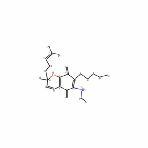 C=c1c2c(c(=C)c(CCCCC)c1NCC)OC(C)(CCC=C(C)C)C=C2